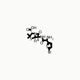 CC1(C)S[C@H]2N(C(=O)[C@]2(C)NC(=O)C(N)c2ccc(Br)s2)[C@H]1C(=O)O